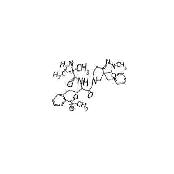 CN1N=C2CCN(C(=O)C(CCc3ccccc3S(C)(=O)=O)NC(=O)C(C)(C)N)CC2(Cc2ccccc2)C1=O